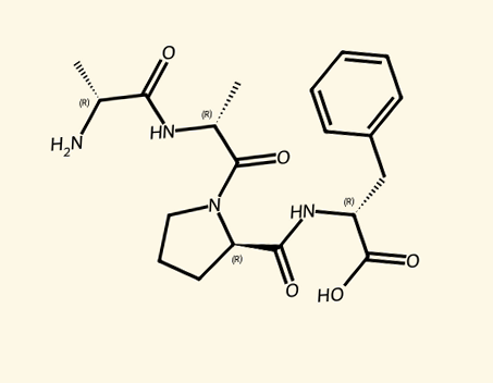 C[C@@H](N)C(=O)N[C@H](C)C(=O)N1CCC[C@@H]1C(=O)N[C@H](Cc1ccccc1)C(=O)O